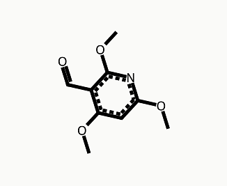 COc1cc(OC)c(C=O)c(OC)n1